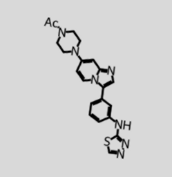 CC(=O)N1CCN(c2ccn3c(-c4cccc(Nc5nncs5)c4)cnc3c2)CC1